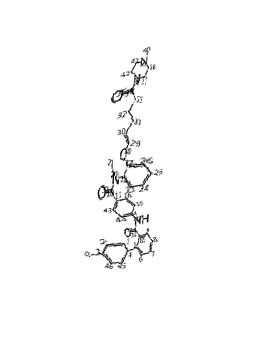 Cc1ccc(-c2ccccc2C(=O)Nc2ccc(C(=O)N(C)c3ccccc3O/C=C/CCCC(=O)N3CCN(C)CC3)cc2)cc1